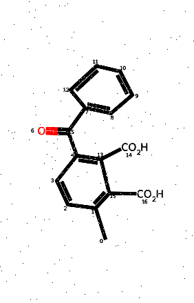 Cc1ccc(C(=O)c2ccccc2)c(C(=O)O)c1C(=O)O